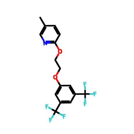 Cc1ccc(OCCOc2cc(C(F)(F)F)cc(C(F)(F)F)c2)nc1